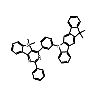 CC1(C)c2ccccc2-c2cc3c(cc21)c1ccccc1n3-c1cccc(-c2nc(-c3ccccc3)nc3c2[Si](C)(C)c2ccccc2-3)c1